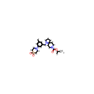 Cc1cc(CN2CCCC23CCN(C(=O)OC(C)C(F)(F)F)CC3)cc(N2CCS(=O)(=O)CC2)c1